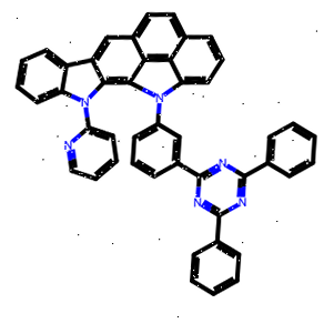 c1ccc(-c2nc(-c3ccccc3)nc(-c3cccc(-n4c5cccc6ccc7cc8c9ccccc9n(-c9ccccn9)c8c4c7c65)c3)n2)cc1